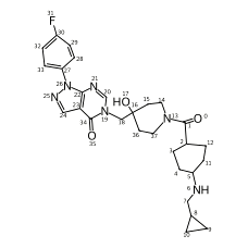 O=C(C1CCC(NCC2CC2)CC1)N1CCC(O)(Cn2cnc3c(cnn3-c3ccc(F)cc3)c2=O)CC1